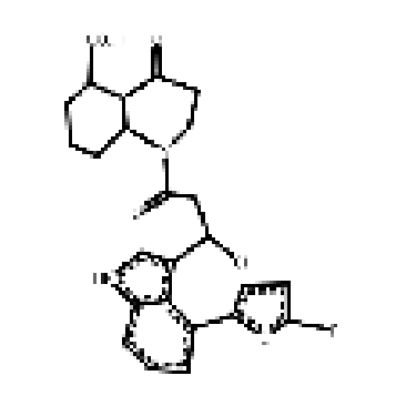 CC(CC(=O)N1CCC(=O)C2C(C(=O)O)CCCC21)c1c[nH]c2cccc(-c3ccc(F)o3)c12